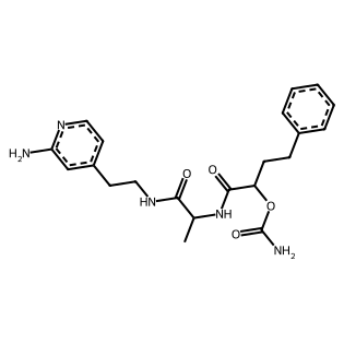 CC(NC(=O)C(CCc1ccccc1)OC(N)=O)C(=O)NCCc1ccnc(N)c1